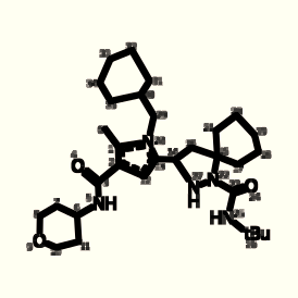 Cc1c(C(=O)NC2CCOCC2)cc(C2CC3(CCCCC3)N(C(=O)NC(C)(C)C)N2)n1CC1CCCCC1